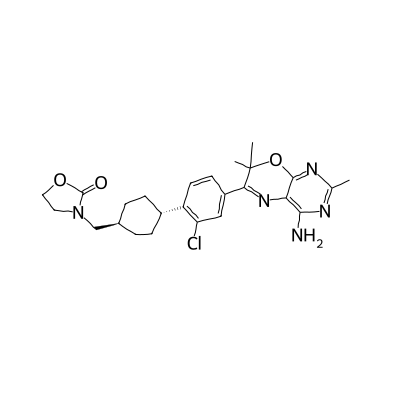 Cc1nc(N)c2c(n1)OC(C)(C)C(c1ccc([C@H]3CC[C@H](CN4CCOC4=O)CC3)c(Cl)c1)=N2